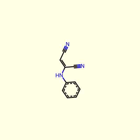 N#CC=C(C#N)Nc1ccccc1